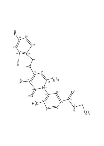 CCNC(=O)c1ccc(C)c(-n2c(C)cc(OCc3ccc(F)cc3F)c(Br)c2=O)c1